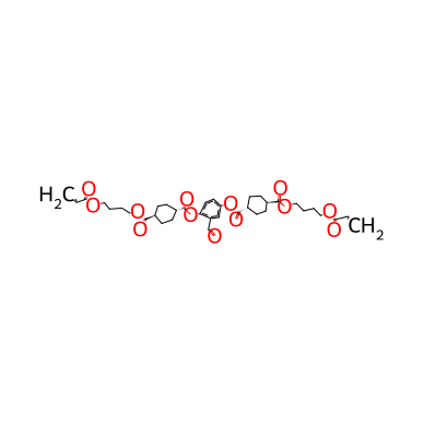 C=CC(=O)OCCCCOC(=O)[C@H]1CC[C@H](C(=O)Oc2ccc(OC(=O)[C@H]3CC[C@H](C(=O)OCCCCOC(=O)C=C)CC3)c(C=O)c2)CC1